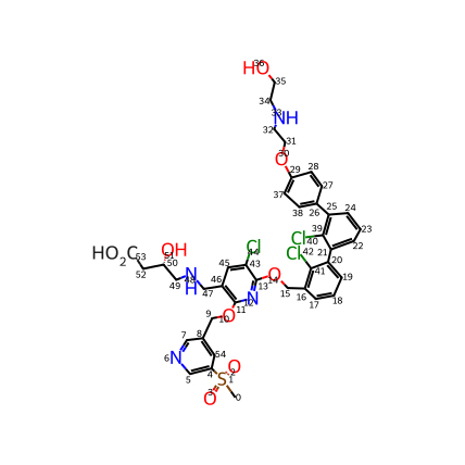 CS(=O)(=O)c1cncc(COc2nc(OCc3cccc(-c4cccc(-c5ccc(OCCNCCO)cc5)c4Cl)c3Cl)c(Cl)cc2CNC[C@@H](O)CC(=O)O)c1